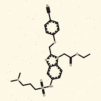 CCOC(=O)Cn1c(COc2ccc(C#N)cc2)nc2cc(NS(=O)(=O)CCCN(C)C)ccc21